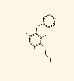 CCCCCCCCCCCCOc1c(C)cc(C(=O)O)c(Oc2ccccc2)c1C